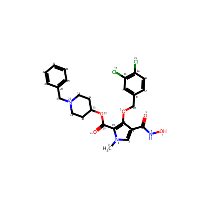 Cn1cc(C(=O)NO)c(OCc2ccc(Cl)c(Cl)c2)c1C(=O)OC1CCN(Cc2ccccc2)CC1